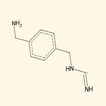 N=[C]NCc1ccc(CN)cc1